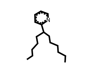 CCCCCCC(CCCCC)c1ccccn1